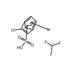 FC(F)F.O=S(=O)(O)c1cc(Br)c2c3c1C(=C2)C(Cl)=C3